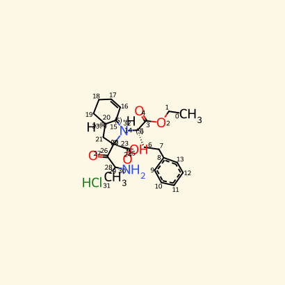 CCOC(=O)[C@H](CCc1ccccc1)N1[C@@H]2C=CCC[C@@H]2C[C@@]1(C(=O)O)C(=O)C(C)N.Cl